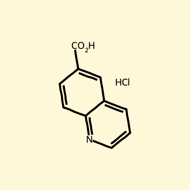 Cl.O=C(O)c1ccc2ncccc2c1